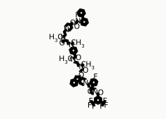 CN(CCN1CCC(OC(=O)Nc2ccccc2-c2ccccc2)CC1)C(=O)CCN(C)c1ccc(C(=O)N(C)CCCN(C)C(=O)CO[C@H]2Cc3ccccc3C23CCN(CC[C@@]2(c4ccc(F)cc4)CN(C(=O)c4cc(C(F)(F)F)cc(C(F)(F)F)c4)CO2)CC3)cc1